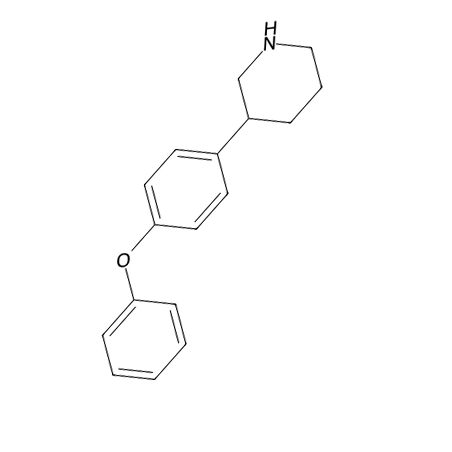 c1ccc(Oc2ccc(C3CCCNC3)cc2)cc1